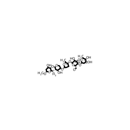 CO[C@@H]1C[C@@H](O)[C@H](O[C@H]2C[C@@H](O)[C@H](O[C@@H]3CC[C@H](O[C@@H]4O[C@@H](C=O)[C@@H](O[C@@H]5C[C@@H](O)[C@H](O)C(C)O5)[C@H](O)C4O)C(C)O3)CO2)C(C)O1